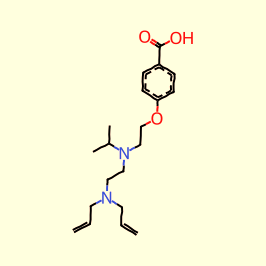 C=CCN(CC=C)CCN(CCOc1ccc(C(=O)O)cc1)C(C)C